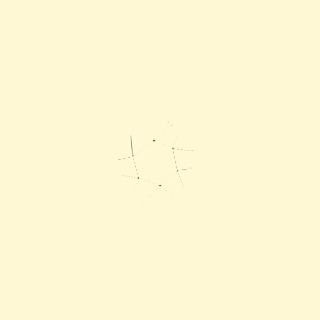 CC1(N)C(F)(F)C(C)(F)C(F)(F)C(F)(F)C1(F)F